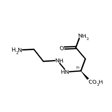 NCCNN[C@@H](CC(N)=O)C(=O)O